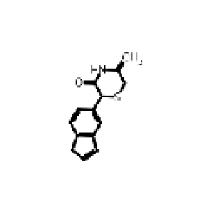 C=C1CSC(c2ccc3c(c2)C=CC3)C(=O)N1